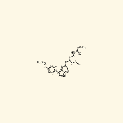 C=CC(=O)NCCC(CCI)Oc1cnc2[nH]cc(-c3cnc(COC)nc3)c2n1